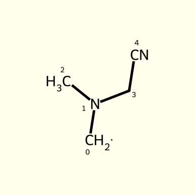 [CH2]N(C)CC#N